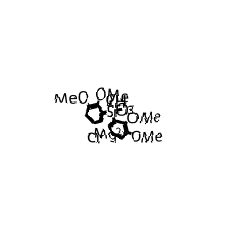 COc1cccc([Si](C)([O-])c2cccc(OC)c2OC)c1OC.[Cl-].[Mg+2]